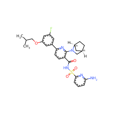 CC(C)COc1cc(F)cc(-c2ccc(C(=O)NS(=O)(=O)c3cccc(N)n3)c(N3C[C@@H]4CC[C@H]3C4)n2)c1